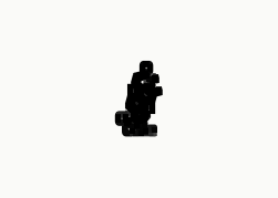 COC(=O)[C@H]1CC[C@H]2[C@@H]3CC(C)=C4N(C)C(=O)CC[C@]4(C)[C@H]3CC[C@]12C